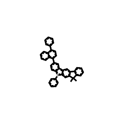 CC1(C)c2ccccc2-c2cc3c4cc(-c5ccc(-c6ccccc6)c6ccccc56)ccc4n(-c4ccccc4)c3cc21